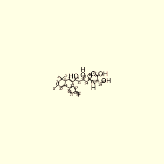 CC1=CC(C)(C)C(C=C[C@H](O)C[C@@H](O)CC(=O)N[C@@H](CO)C(=O)O)C(c2ccc(F)cc2)=C1